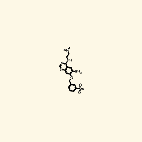 Bc1cc2c(NCCN(C)C)ncnc2cc1OCc1cccc(S(C)(=O)=O)c1